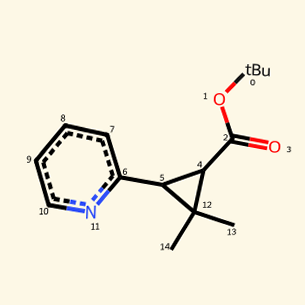 CC(C)(C)OC(=O)C1C(c2ccccn2)C1(C)C